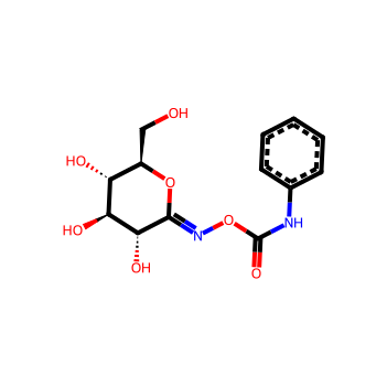 O=C(Nc1ccccc1)ON=C1O[C@H](CO)[C@@H](O)[C@H](O)[C@H]1O